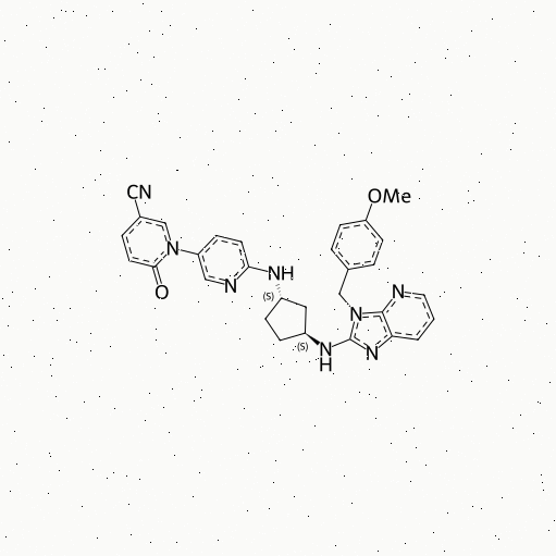 COc1ccc(Cn2c(N[C@H]3CC[C@H](Nc4ccc(-n5cc(C#N)ccc5=O)cn4)C3)nc3cccnc32)cc1